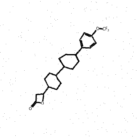 O=C1CC(C2CCC(C3CCC(c4ccc(OC(F)(F)F)cc4)CC3)CC2)O1